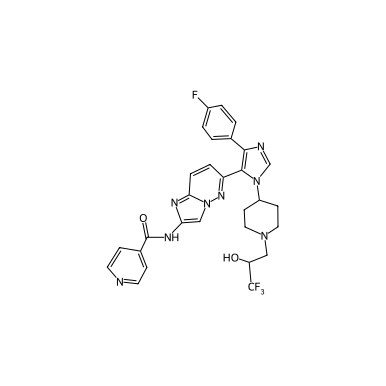 O=C(Nc1cn2nc(-c3c(-c4ccc(F)cc4)ncn3C3CCN(CC(O)C(F)(F)F)CC3)ccc2n1)c1ccncc1